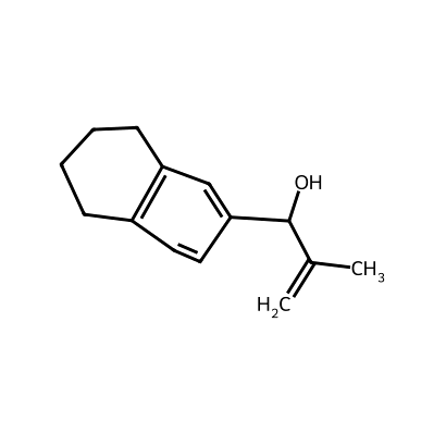 C=C(C)C(O)c1ccc2c(c1)CCCC2